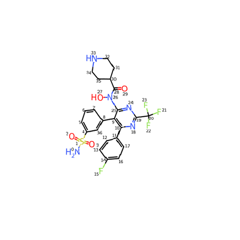 NS(=O)(=O)c1cccc(-c2c(-c3ccc(F)cc3)nc(C(F)(F)F)nc2N(O)C(=O)C2CCNCC2)c1